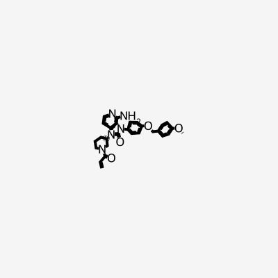 C=CC(=O)N1CCC[C@@H](n2c(=O)n(-c3ccc(OCc4ccc(OC)cc4)cc3)c3c(N)nccc32)C1